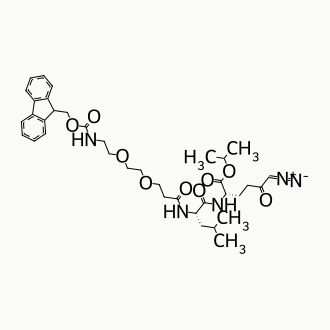 CC(C)C[C@H](NC(=O)CCOCCOCCNC(=O)OCC1c2ccccc2-c2ccccc21)C(=O)N[C@@H](CCC(=O)C=[N+]=[N-])C(=O)OC(C)C